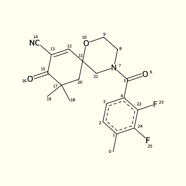 Cc1ccc(C(=O)N2CCOC3(C=C(C#N)C(=O)C(C)(C)C3)C2)c(F)c1F